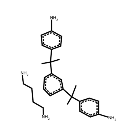 CC(C)(c1ccc(N)cc1)c1cccc(C(C)(C)c2ccc(N)cc2)c1.NCCCCN